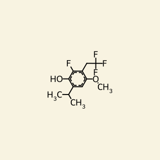 COc1cc(C(C)C)c(O)c(F)c1CC(F)(F)F